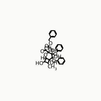 CC(=O)[C@@]1(OC(=O)OCc2ccccc2)O[C@@H]2C(O)C(C)[C@]2(O)[C@@](O)(Oc2ccccc2)[C@]1(O)Oc1ccccc1